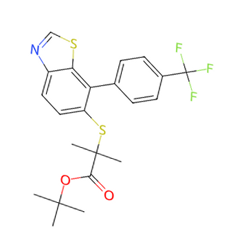 CC(C)(C)OC(=O)C(C)(C)Sc1ccc2ncsc2c1-c1ccc(C(F)(F)F)cc1